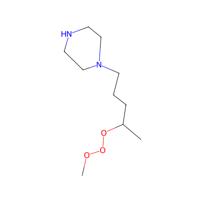 COOOC(C)CCCN1CCNCC1